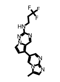 Cc1cnc2ncc(-c3ccn4nc(NCCC(F)(F)F)ncc34)cn12